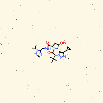 CC(C)n1ncnc1CNC(=O)C1CC(O)CN1C(=O)[C@@H](n1cc(C2CC2)nn1)C(C)(C)C